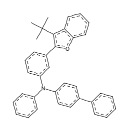 CC(C)(C)c1c(-c2cccc(N(c3ccccc3)c3ccc(-c4ccccc4)cc3)c2)oc2ccccc12